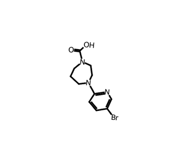 O=C(O)N1CCCN(c2ccc(Br)cn2)CC1